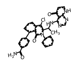 CC(Nc1ncnc2[nH]ccc(=O)c12)c1c(Cl)c2cccc(-c3ccc(C(N)=O)cc3)c2c(=O)n1-c1ccccc1